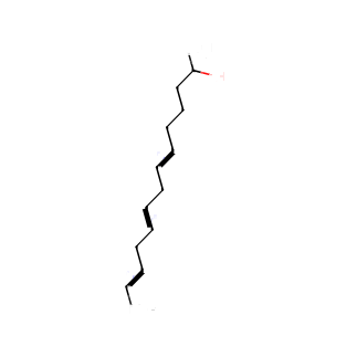 CCCCC/C=C/C/C=C/C/C=C/CCCC(O)C(=O)O